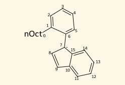 CCCCCCCCc1ccccc1[C]1C=Cc2ccccc21